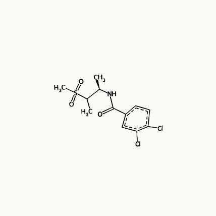 CC([C@@H](C)NC(=O)c1ccc(Cl)c(Cl)c1)S(C)(=O)=O